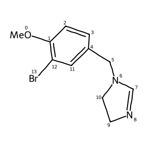 COc1ccc(CN2C=NCC2)cc1Br